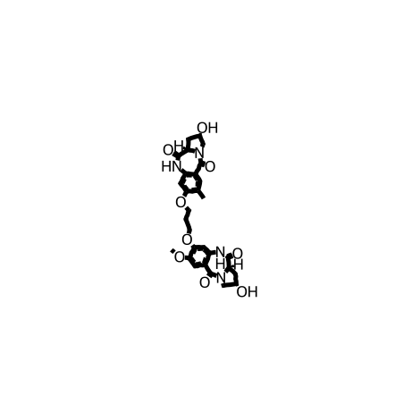 COc1cc2c(cc1OCCCOc1cc3c(cc1C)C(=O)N1C[C@H](O)C[C@H]1C(=O)N3)NC(=O)[C@@H]1C[C@@H](O)CN1C2=O